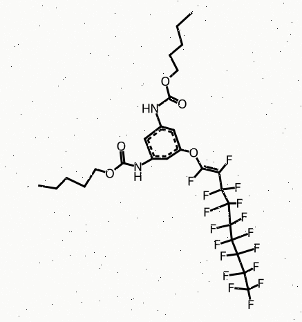 CCCCCOC(=O)Nc1cc(NC(=O)OCCCCC)cc(OC(F)=C(F)C(F)(F)C(F)(F)C(F)(F)C(F)(F)C(F)(F)C(F)(F)C(F)(F)F)c1